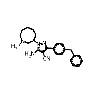 N#Cc1c(-c2ccc(Cc3ccccc3)cc2)nn(C2CCCCCN(P)C2)c1N